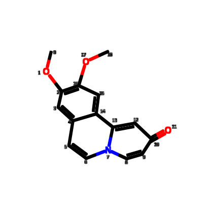 COc1cc2ccn3ccc(=O)cc3c2cc1OC